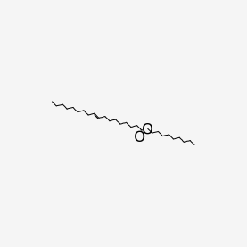 CCCCCCCC/C=C/CCCCCCCC(=O)OCCCCCCCCC